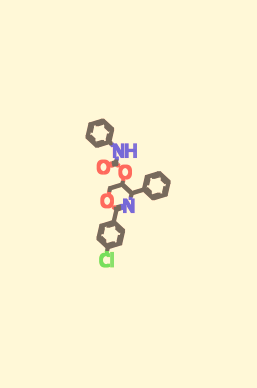 O=C(Nc1ccccc1)OC1COC(c2ccc(Cl)cc2)=NC1c1ccccc1